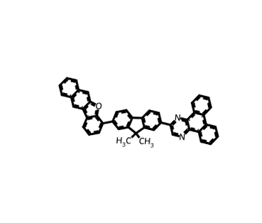 CC1(C)c2cc(-c3cnc4c5ccccc5c5ccccc5c4n3)ccc2-c2ccc(-c3cccc4c3oc3cc5ccccc5cc34)cc21